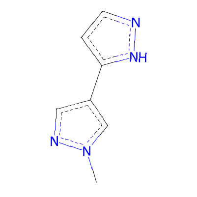 Cn1cc(-c2ccn[nH]2)cn1